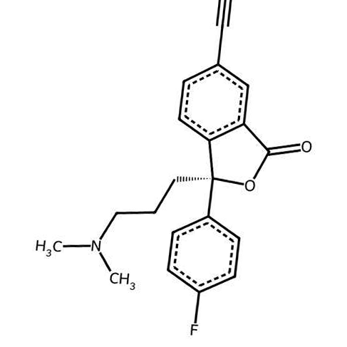 CN(C)CCC[C@@]1(c2ccc(F)cc2)OC(=O)c2cc(C#N)ccc21